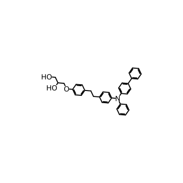 OCC(O)COc1ccc(CCc2ccc(N(c3ccccc3)c3ccc(-c4ccccc4)cc3)cc2)cc1